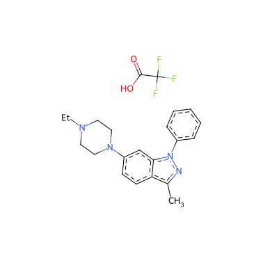 CCN1CCN(c2ccc3c(C)nn(-c4ccccc4)c3c2)CC1.O=C(O)C(F)(F)F